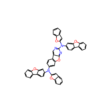 c1ccc2oc(N(c3ccc4c(c3)oc3ccccc34)c3ccc4c(c3)oc3nc(N(c5ccc6c(c5)oc5ccccc56)c5cc6ccccc6o5)ncc34)cc2c1